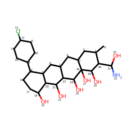 CC1CC2CC3CC4C(C5CCC(Cl)CC5)CCC(O)C4C(O)C3C(O)C2(O)C(O)C1C(N)O